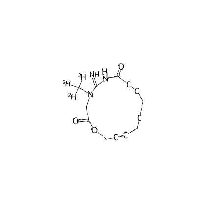 [2H]C([2H])([2H])N1CC(=O)OCCCCCCCCC(=O)NC1=N